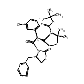 CC(C)(C)OC(=O)N1C([C@@H](C(=O)N2C(=O)OCC2Cc2ccccc2)c2cccc(Cl)c2)CCC1(C)C